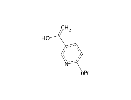 C=C(O)c1ccc(CCC)nc1